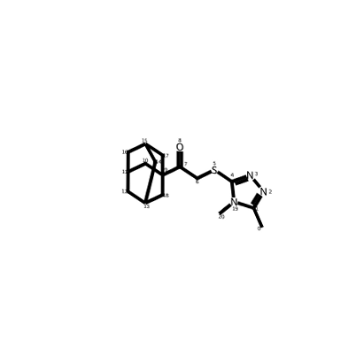 Cc1nnc(SCC(=O)C23CC4CC(CC(C4)C2)C3)n1C